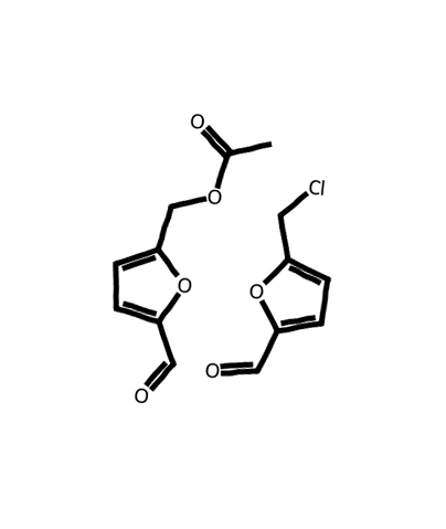 CC(=O)OCc1ccc(C=O)o1.O=Cc1ccc(CCl)o1